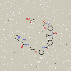 N[C@@H](Cc1cscn1)C(=O)NCCCCOc1cccc(NC(=O)c2ccc(CN(C(=O)c3ccc4c(c3)OCC(=O)N4)C3CC3)cc2)c1.O=C(O)C(F)(F)F